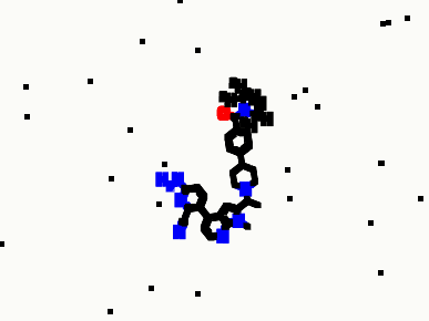 [2H]C([2H])([2H])N(C(=O)c1ccc(C2CCN(C(C)c3cc4c(-c5ccc(N)nc5C#N)ccnc4n3C)CC2)cc1)C([2H])([2H])[2H]